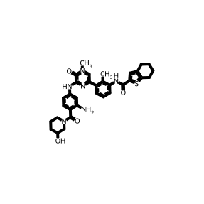 Cc1c(NC(=O)c2cc3c(s2)CCCC3)cccc1-c1cn(C)c(=O)c(Nc2ccc(C(=O)N3CCCC(O)C3)c(N)c2)n1